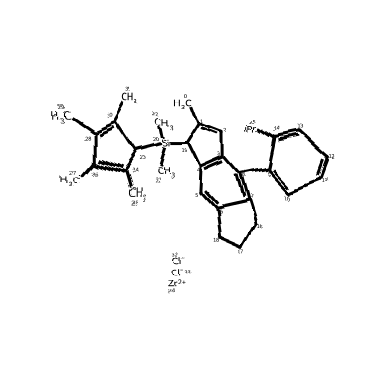 CC1=Cc2c(cc3c(c2-c2ccccc2C(C)C)CCC3)C1[Si](C)(C)C1C(C)=C(C)C(C)=C1C.[Cl-].[Cl-].[Zr+2]